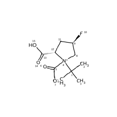 CC(C)(C)[N+]1(C(=O)[O-])C[C@H](F)C[C@H]1C(=O)O